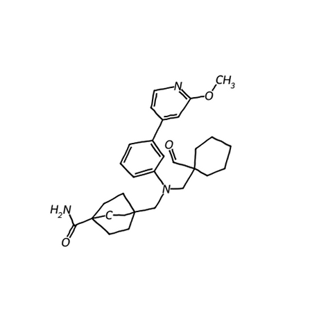 COc1cc(-c2cccc(N(CC3(C=O)CCCCC3)CC34CCC(C(N)=O)(CC3)CC4)c2)ccn1